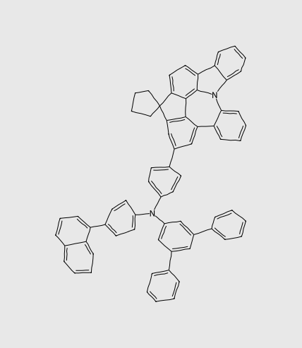 c1ccc(-c2cc(-c3ccccc3)cc(N(c3ccc(-c4cc5c6c(c4)C4(CCCC4)c4ccc7c8ccccc8n(c7c4-6)-c4ccccc4-5)cc3)c3ccc(-c4cccc5ccccc45)cc3)c2)cc1